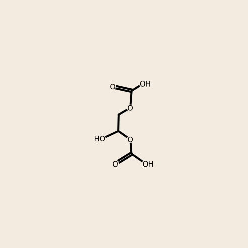 O=C(O)OCC(O)OC(=O)O